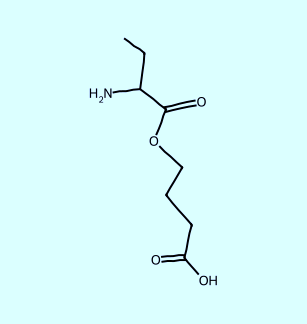 CCC(N)C(=O)OCCCC(=O)O